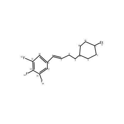 CCC1CCC(CCC=Cc2cc(F)c(F)c(F)c2)CC1